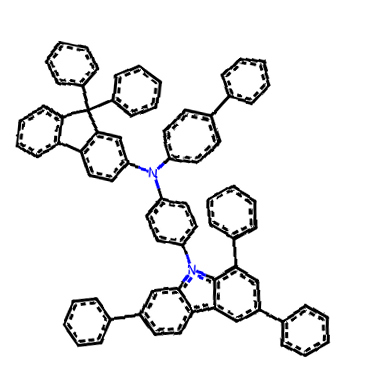 c1ccc(-c2ccc(N(c3ccc(-n4c5cc(-c6ccccc6)ccc5c5cc(-c6ccccc6)cc(-c6ccccc6)c54)cc3)c3ccc4c(c3)C(c3ccccc3)(c3ccccc3)c3ccccc3-4)cc2)cc1